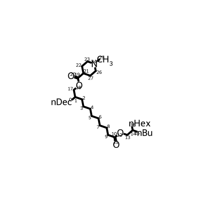 CCCCCCCCCCC(CCCCCCCCC(=O)OCC(CCCC)CCCCCC)COC(=O)C1CCN(C)CC1